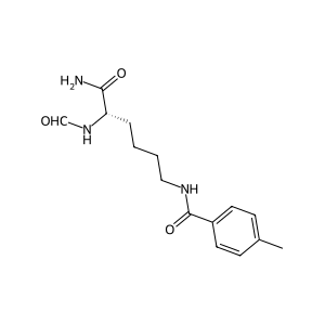 Cc1ccc(C(=O)NCCCC[C@H](NC=O)C(N)=O)cc1